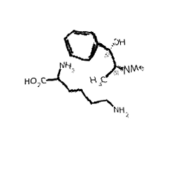 CN[C@@H](C)[C@@H](O)c1ccccc1.NCCCCC(N)C(=O)O